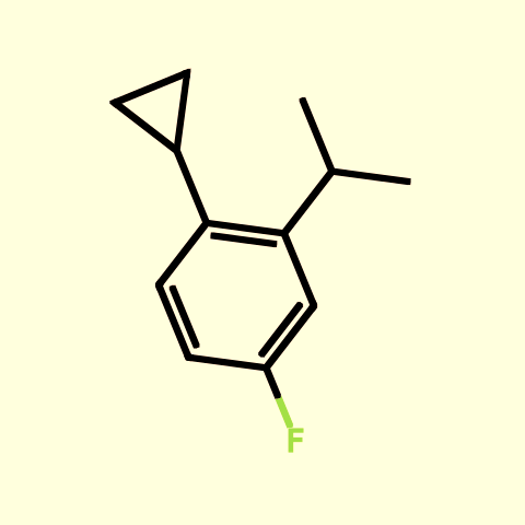 CC(C)c1cc(F)ccc1C1CC1